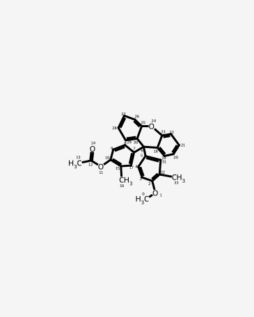 COc1ccc(C2(c3ccc(OC(C)=O)c(C)c3)c3ccccc3Oc3ccccc32)cc1C